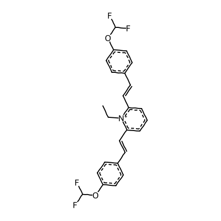 CC[n+]1c(/C=C/c2ccc(OC(F)F)cc2)cccc1/C=C/c1ccc(OC(F)F)cc1